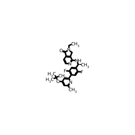 CCN1Cc2c(ccnc2N[C@@H](C)c2cc(F)c(-c3cc(OC(C)(C)C)cc(C)n3)cc2F)C1=O